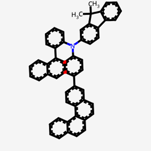 CC1(C)c2ccccc2-c2ccc(N(c3ccc(-c4ccc5c(ccc6ccc7ccccc7c65)c4)cc3)c3ccccc3-c3cccc4ccccc34)cc21